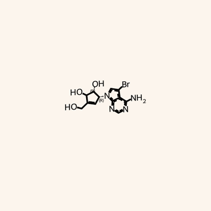 Nc1ncnc2c1c(Br)cn2[C@@H]1C=C(CO)C(O)[C@@H]1O